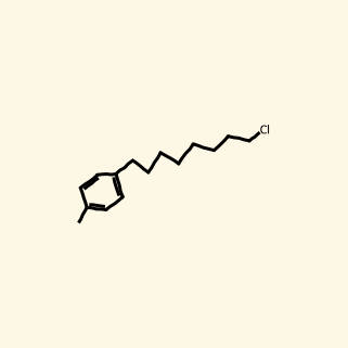 Cc1ccc(CCCCCCCCCl)cc1